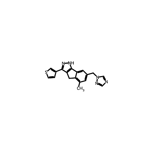 Cc1cc(Cn2cncn2)cc2c1Cc1c(-c3ccsc3)n[nH]c1-2